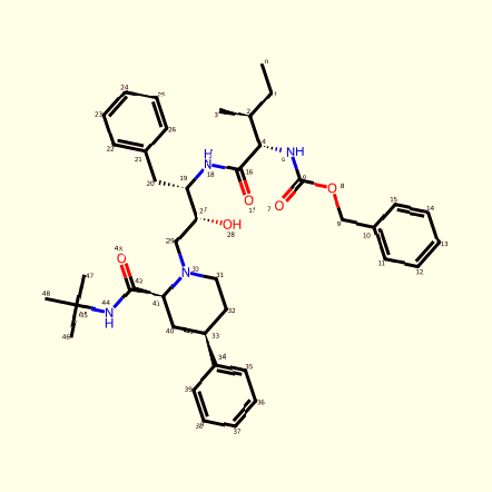 CC[C@H](C)[C@H](NC(=O)OCc1ccccc1)C(=O)N[C@@H](Cc1ccccc1)[C@H](O)CN1CC[C@@H](c2ccccc2)C[C@H]1C(=O)NC(C)(C)C